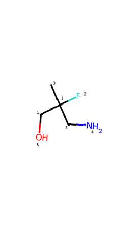 CC(F)(CN)CO